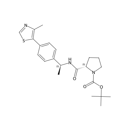 Cc1ncsc1-c1ccc([C@H](C)NC(=O)[C@@H]2CCCN2C(=O)OC(C)(C)C)cc1